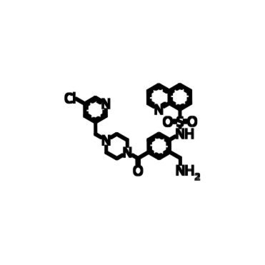 NCc1cc(C(=O)N2CCN(Cc3cncc(Cl)c3)CC2)ccc1NS(=O)(=O)c1cccc2cccnc12